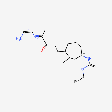 C=C(NCC(C)C)N[C@@H]1CCCC(CCC(=O)/C(C)=N/C=C\N)C(C)C1